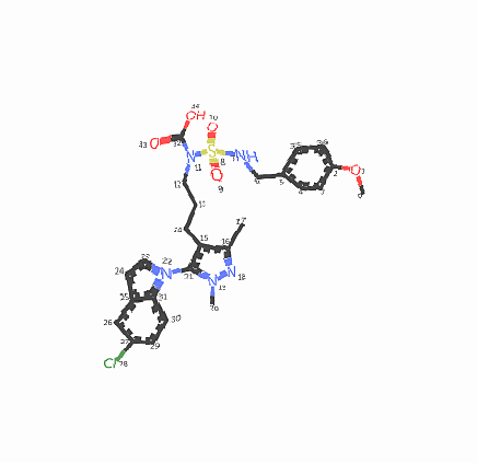 COc1ccc(CNS(=O)(=O)N(CCCc2c(C)nn(C)c2-n2ccc3cc(Cl)ccc32)C(=O)O)cc1